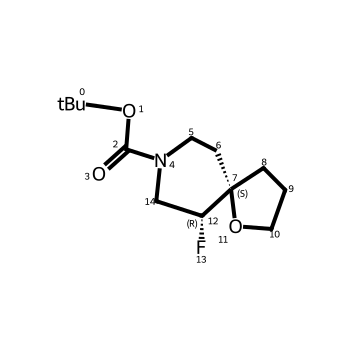 CC(C)(C)OC(=O)N1CC[C@@]2(CCCO2)[C@H](F)C1